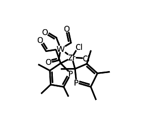 CC1=P[C](C)([Zr]([Cl])([Cl])([C]2(C)P=C(C)C(C)=C2C)[W]([CH]=O)([CH]=O)([CH]=O)[CH]=O)C(C)=C1C